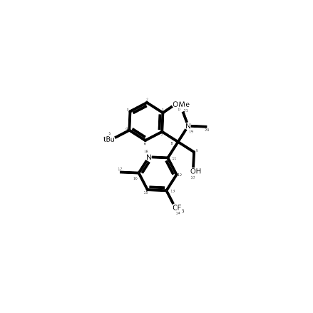 COc1ccc(C(C)(C)C)cc1C(CO)(c1cc(C(F)(F)F)cc(C)n1)N(C)C